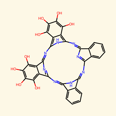 Oc1c(O)c(O)c2c(c1O)-c1nc-2nc2[nH]c(nc3nc(nc4[nH]c(n1)c1ccccc41)-c1ccccc1-3)c1c(O)c(O)c(O)c(O)c21